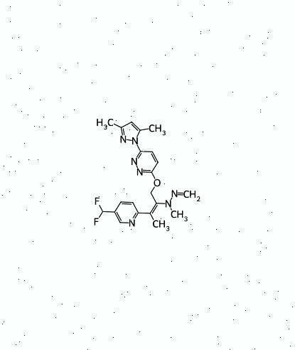 C=NN(C)/C(COc1ccc(-n2nc(C)cc2C)nn1)=C(\C)c1ccc(C(F)F)cn1